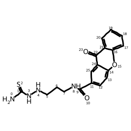 NC(=S)NNCCCNC(=O)c1ccc2oc3ccccc3c(=O)c2c1